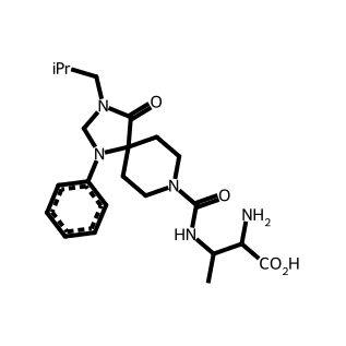 CC(C)CN1CN(c2ccccc2)C2(CCN(C(=O)NC(C)C(N)C(=O)O)CC2)C1=O